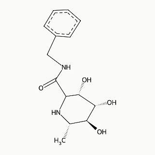 C[C@@H]1NC(C(=O)NCc2ccccc2)[C@H](O)[C@H](O)[C@H]1O